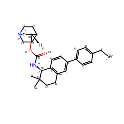 CC(C)Cc1ccc(-c2ccc3c(c2)CCC(C)(C)[C@H]3NC(=O)O[C@@H]2CN3CCC2CC3)cc1